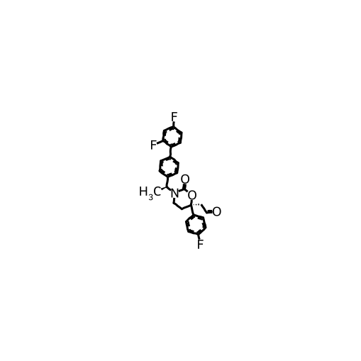 C[C@@H](c1ccc(-c2ccc(F)cc2F)cc1)N1CC[C@](CC=O)(c2ccc(F)cc2)OC1=O